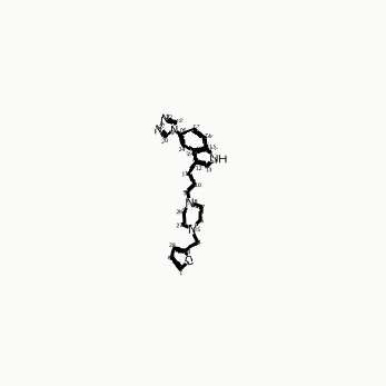 c1coc(CN2CCN(CCCc3c[nH]c4ccc(-n5cnnc5)cc34)CC2)c1